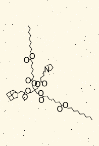 CCCCCCCCCOC(=O)CCCCCC(=O)OCC(COC(=O)CCCCCC(=O)OCCCCCCCCC)(COC(=O)CCCN1CCCC1)COC(=O)CC12CC3CC4CC(C1)C43C2